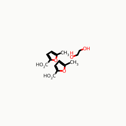 Cc1ccc(C(=O)O)o1.Cc1ccc(C(=O)O)o1.OCCO